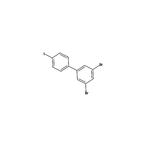 Brc1cc(Br)cc(-c2ccc(I)cc2)c1